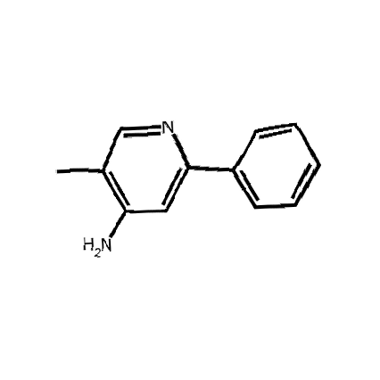 Cc1cnc(-c2ccccc2)cc1N